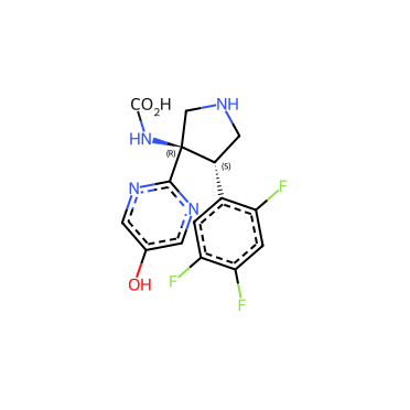 O=C(O)N[C@@]1(c2ncc(O)cn2)CNC[C@@H]1c1cc(F)c(F)cc1F